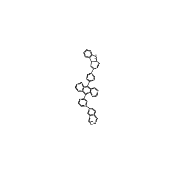 C1=CC2Sc3ccccc3C2C=C1c1ccc(-c2c3ccccc3c(-c3cccc(-c4ccc5ccccc5c4)c3)c3ccccc23)cc1